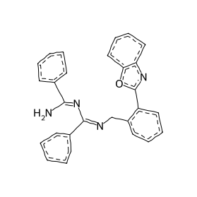 N/C(=N\C(=N/Cc1ccccc1-c1nc2ccccc2o1)c1ccccc1)c1ccccc1